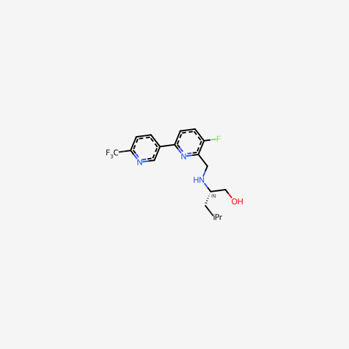 CC(C)C[C@@H](CO)NCc1nc(-c2ccc(C(F)(F)F)nc2)ccc1F